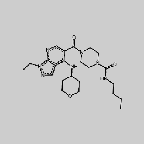 CCCCNC(=O)N1CCN(C(=O)c2cnc3c(cnn3CC)c2NC2CCOCC2)CC1